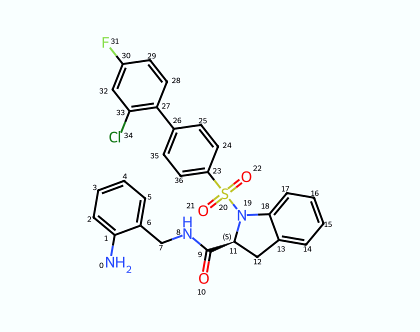 Nc1ccccc1CNC(=O)[C@@H]1Cc2ccccc2N1S(=O)(=O)c1ccc(-c2ccc(F)cc2Cl)cc1